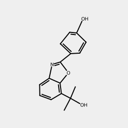 CC(C)(O)c1cccc2nc(-c3ccc(O)cc3)oc12